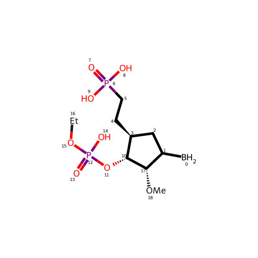 BC1C[C@H](CCP(=O)(O)O)[C@@H](OP(=O)(O)OCC)[C@H]1OC